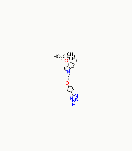 CC(C)(Oc1cccc2c1ccn2CCCOc1ccc(-c2nn[nH]n2)cc1)C(=O)O